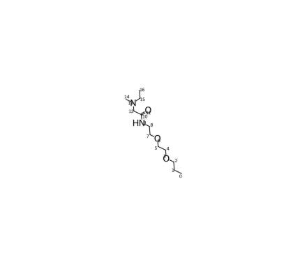 CCCOCCOCCNC(=O)CN(C)CC